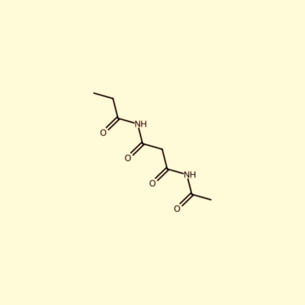 CCC(=O)NC(=O)CC(=O)NC(C)=O